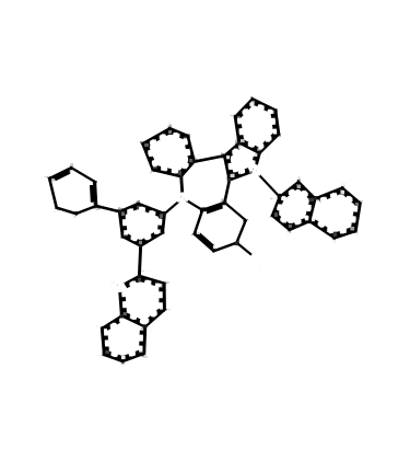 CC1C=CC2=C(C1)c1c(c3ccccc3n1-c1ccc3ccccc3c1)-c1ccccc1N2c1cc(C2=CC=CCC2)cc(-c2ccc3ccccc3n2)c1